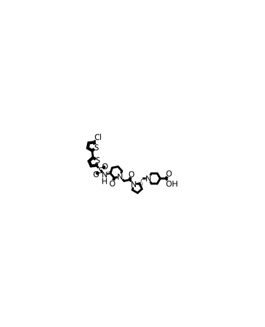 O=C(O)C1CCN(C[C@@H]2CCCN2C(=O)CN2CCC[C@H](NS(=O)(=O)c3ccc(-c4ccc(Cl)s4)s3)C2=O)CC1